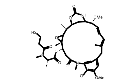 COc1cc2cc(c1Cl)N(C)C(=O)C[C@H](OC(=O)[C@H](C)N(C)C(=O)CCS)[C@]1(C)OC1[C@H](C)C1CC(NC(=O)O1)[C@H](OC)/C=C/C=C(\C)C2